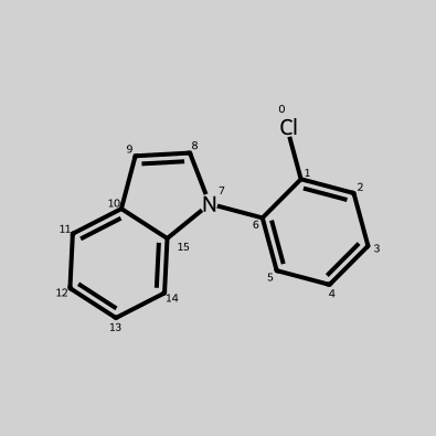 Clc1ccccc1-n1ccc2ccccc21